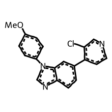 COc1ccc(-n2cnc3ccc(-c4ccncc4Cl)cc32)cc1